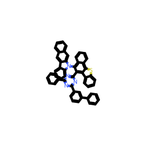 c1ccc(-c2cccc(-c3nc(-c4ccccc4)nc(-c4c(-n5c6ccccc6c6cc7ccccc7cc65)c5ccccc5c5sc6ccccc6c45)n3)c2)cc1